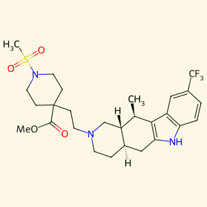 COC(=O)C1(CCN2CC[C@@H]3Cc4[nH]c5ccc(C(F)(F)F)cc5c4[C@H](C)[C@H]3C2)CCN(S(C)(=O)=O)CC1